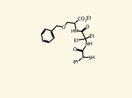 CCOC(=O)[C@H](COCc1ccccc1)NC(=O)C(CC)(CC)NC(=O)[C@@H](S)C(C)C